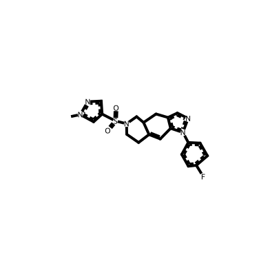 Cn1cc(S(=O)(=O)N2CCC3=Cc4c(cnn4-c4ccc(F)cc4)CC3C2)cn1